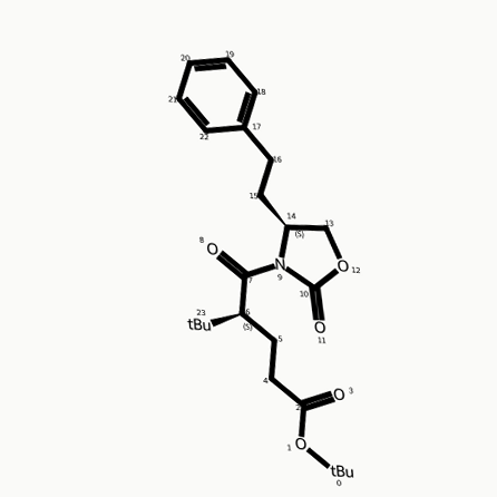 CC(C)(C)OC(=O)CC[C@H](C(=O)N1C(=O)OC[C@@H]1CCc1ccccc1)C(C)(C)C